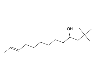 CC=CCCCCCCC(O)CC(C)(C)C